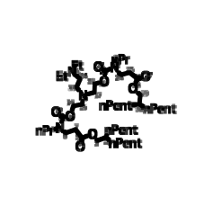 CCCCCC(CCCCC)COC(=O)CCN(CCC)C(=O)OCCN(CCOC(=O)N(CCC)CCC(=O)OCC(CCCCC)CCCCC)CCN(CC)CC